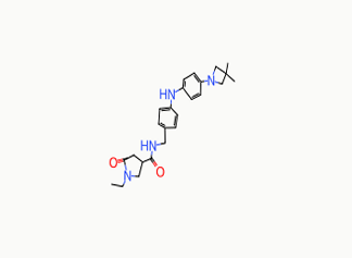 CCN1CC(C(=O)NCc2ccc(Nc3ccc(N4CC(C)(C)C4)cc3)cc2)CC1=O